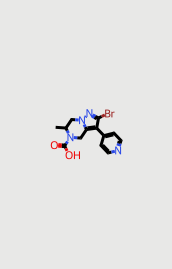 CC1Cn2nc(Br)c(-c3ccncc3)c2CN1C(=O)O